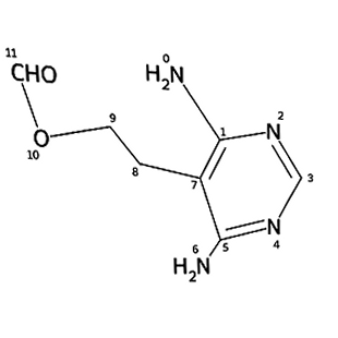 Nc1ncnc(N)c1CCOC=O